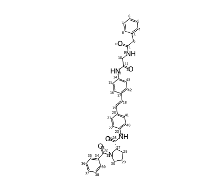 O=C(Cc1ccccc1)NCC(=O)Nc1ccc(/C=C/c2ccc(NC(=O)[C@@H]3CCCN3C(=O)c3ccccc3)cc2)cc1